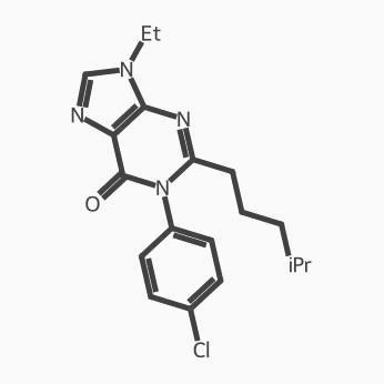 CCn1cnc2c(=O)n(-c3ccc(Cl)cc3)c(CCCC(C)C)nc21